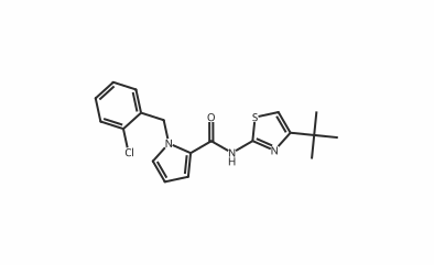 CC(C)(C)c1csc(NC(=O)c2cccn2Cc2ccccc2Cl)n1